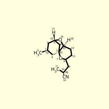 C[C@H]1C[C@H]2C[C@]3(C1)OC(C[C@@H](C)C#N)CC[C@@H]3O2